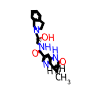 C[C@H]1[C@H]2C(=O)Nc3cc(C(=O)NC[C@H](O)CN4CCc5ccccc5C4)cnc3[C@@H]12